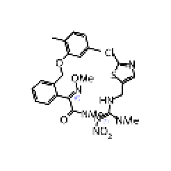 CN/C(=N\[N+](=O)[O-])NCc1cnc(Cl)s1.CNC(=O)/C(=N/OC)c1ccccc1COc1cc(C)ccc1C